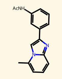 CC(=O)Nc1cccc(-c2cn3c(C)cccc3n2)c1